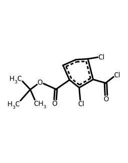 CC(C)(C)OC(=O)c1ccc(Cl)c(C(=O)Cl)c1Cl